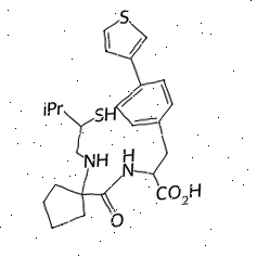 CC(C)C(S)CNC1(C(=O)NC(Cc2ccc(-c3ccsc3)cc2)C(=O)O)CCCC1